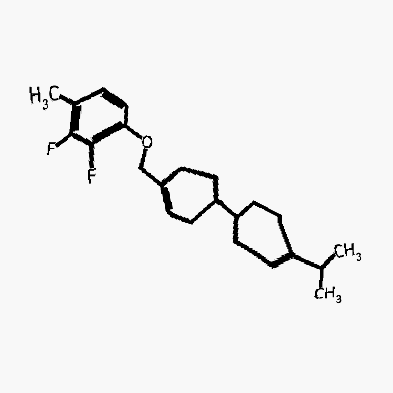 Cc1ccc(OCC2=CCC(C3CCC(C(C)C)CC3)CC2)c(F)c1F